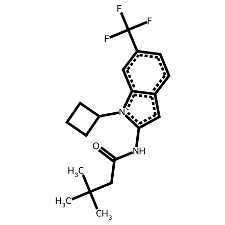 CC(C)(C)CC(=O)Nc1cc2ccc(C(F)(F)F)cc2n1C1CCC1